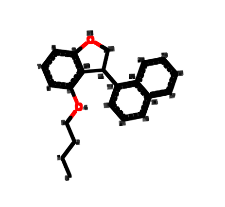 CCCCOc1cccc2c1C(c1cccc3ccccc13)[C]O2